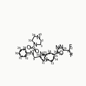 CN1CCN(S(=O)(=O)N(Cc2cn3ccc(-c4nnc(C(F)F)o4)cc3n2)c2ccccc2)CC1